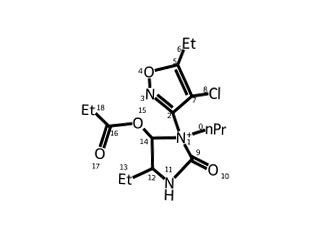 CCC[N+]1(c2noc(CC)c2Cl)C(=O)NC(CC)C1OC(=O)CC